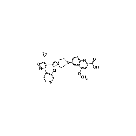 COc1cc(C(=O)O)nc2ccc(N3CCC4(C=C(c5c(-c6ccncc6Cl)noc5C5CC5)C4)CC3)cc12